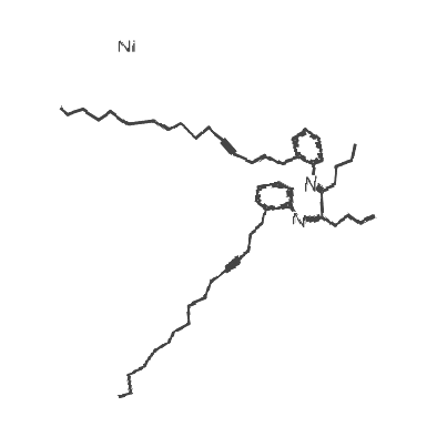 CCCCCCCCCCCC#CCCCc1ccccc1N=C(CCCC)C(CCCC)=Nc1ccccc1CCCC#CCCCCCCCCCCC.[Ni]